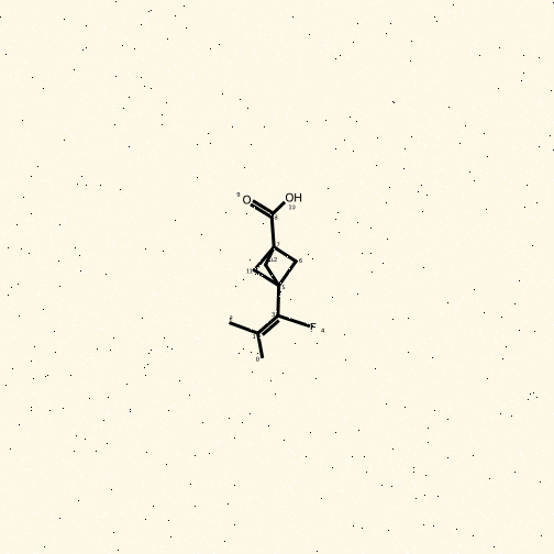 CC(C)=C(F)C12CC(C(=O)O)(C1)C2